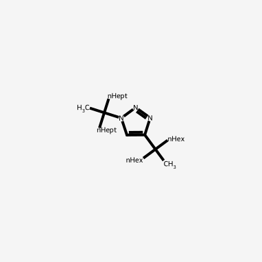 CCCCCCCC(C)(CCCCCCC)n1cc(C(C)(CCCCCC)CCCCCC)nn1